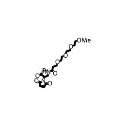 COCCOCCOCCOCCC(=O)NCC(C(=O)C(C)C)N1C(=O)C=CC1=O